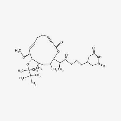 CO[C@H]1/C=C/CC/C=C/C(=O)OC([C@H](C)C(=O)CCCC2CC(=O)NC(=O)C2)/C(C)=C\[C@@H](C)[C@@H]1O[Si](C)(C)C(C)(C)C